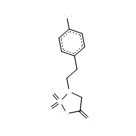 Nc1ccc(CCN2CC(=O)NS2(=O)=O)cc1